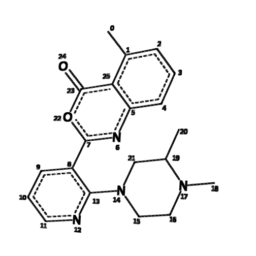 Cc1cccc2nc(-c3cccnc3N3CCN(C)C(C)C3)oc(=O)c12